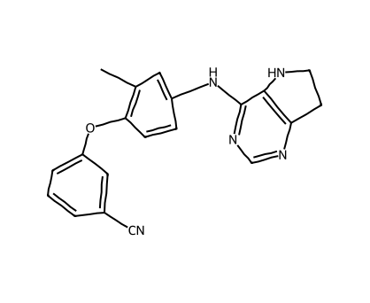 Cc1cc(Nc2ncnc3c2NCC3)ccc1Oc1cccc(C#N)c1